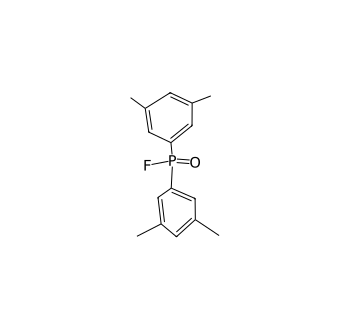 Cc1cc(C)cc(P(=O)(F)c2cc(C)cc(C)c2)c1